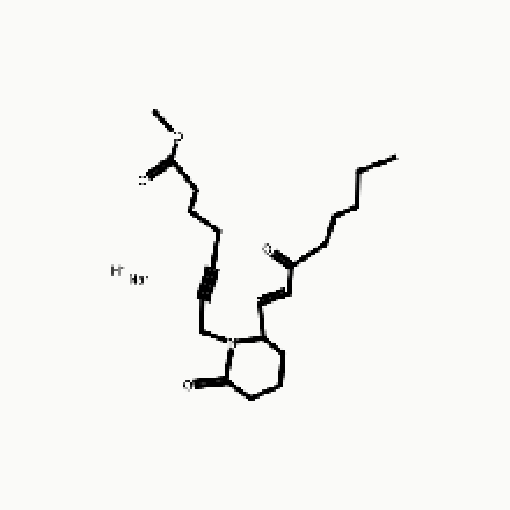 CCCCCC(=O)C=CC1CCCC(=O)N1CC#CCCCC(=O)OC.[H-].[Na+]